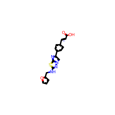 O=C(O)/C=C/c1ccc(-c2cn3nc(NCc4ccco4)sc3n2)cc1